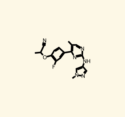 Cc1cnc(Nc2cnn(C)c2)nc1-c1ccc(OC(C)C#N)c(F)c1